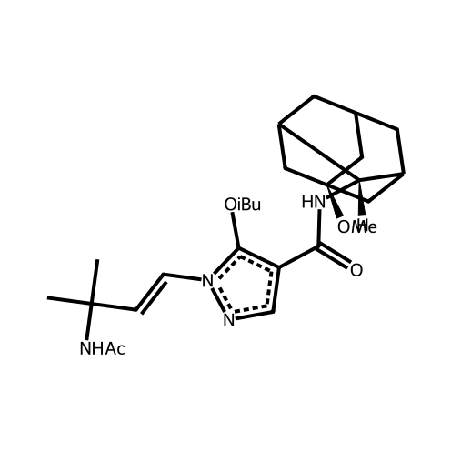 CO[C@]12CC3CC(C1)[C@@H](NC(=O)c1cnn(/C=C/C(C)(C)NC(C)=O)c1OCC(C)C)C(C3)C2